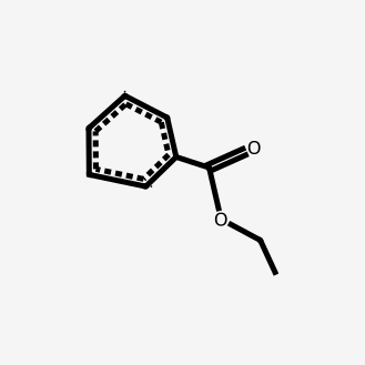 CCOC(=O)c1[c]cc[c]c1